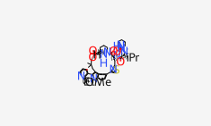 CCn1c(-c2cccnc2[C@H](C)OC)c2c3cc(ccc31)-c1csc(n1)C[C@H](NC(=O)[C@H](C(C)C)N(C)C(=O)N1C3CC1CN(C)C3)C(=O)N1CCC[C@H](N1)C(=O)OCC(C)(C)C2